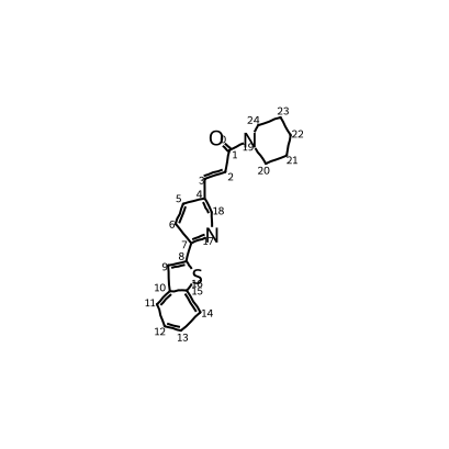 O=C(/C=C/c1ccc(-c2cc3ccccc3s2)nc1)N1CCCCC1